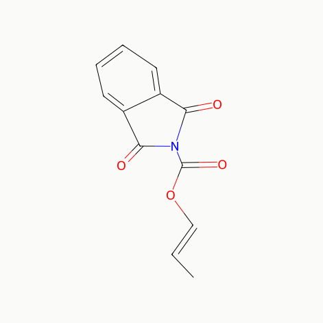 CC=COC(=O)N1C(=O)c2ccccc2C1=O